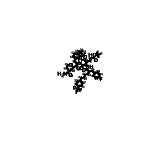 CC(C)(C)OC(=O)NCC(CO[Si](C)(C)C(C)(C)C)C(NC(=O)C(CCCCc1ccc(C(F)(F)F)cc1)Cc1ccc(F)cc1)C(=O)NC(Cc1ccccc1)C(=O)C1CN(C(N)=O)CCO1